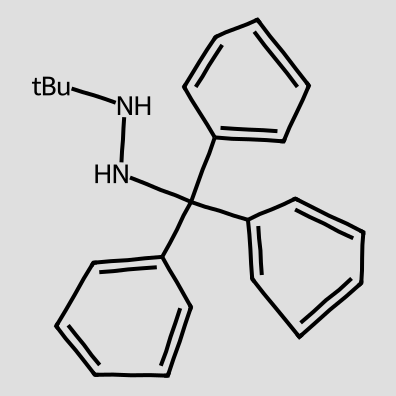 CC(C)(C)NNC(c1ccccc1)(c1ccccc1)c1ccccc1